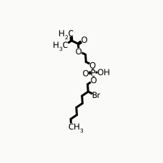 C=C(C)C(=O)OCCOP(=O)(O)OCC(Br)CCCCCC